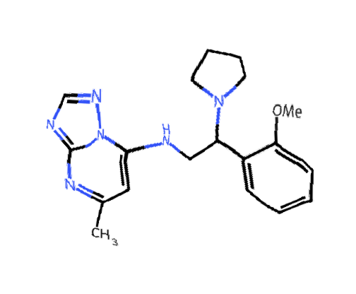 COc1ccccc1C(CNc1cc(C)nc2ncnn12)N1CCCC1